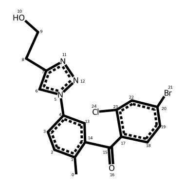 Cc1ccc(-n2cc(CCO)nn2)cc1C(=O)c1ccc(Br)cc1Cl